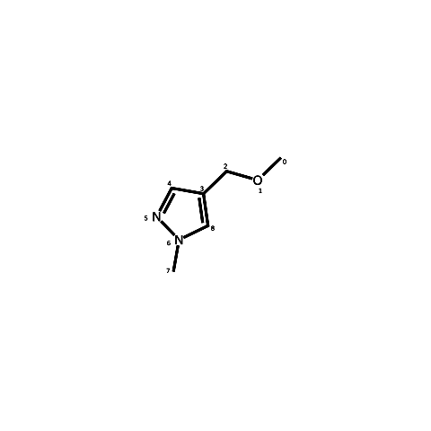 COCc1cnn(C)c1